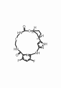 O=C1NCCCNC(=O)c2nc(c(F)cc2F)Nc2cc([nH]n2)[C@H]2CC[C@H](C2)O1